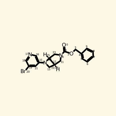 O=C(OCc1ccccc1)N1C[C@@H]2CN(c3cncc(Br)c3)[C@@H]2C1